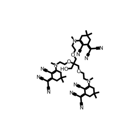 CN(CCOCC(CO)(COCCN(C)C1=C(C#N)C(=C(C#N)C#N)CC(C)(C)C1)OCCN(C)C1=C(C#N)C(=C(C#N)C#N)CC(C)(C)C1)C1=C(C#N)C(=C(C#N)C#N)CC(C)(C)C1